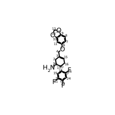 N[C@H]1CC(COc2ccc3c(c2)OCO3)=CC[C@@H]1c1cc(F)c(F)cc1F